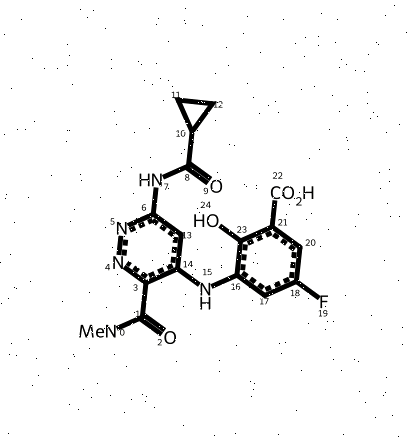 CNC(=O)c1nnc(NC(=O)C2CC2)cc1Nc1cc(F)cc(C(=O)O)c1O